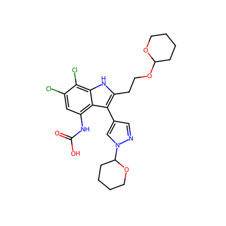 O=C(O)Nc1cc(Cl)c(Cl)c2[nH]c(CCOC3CCCCO3)c(-c3cnn(C4CCCCO4)c3)c12